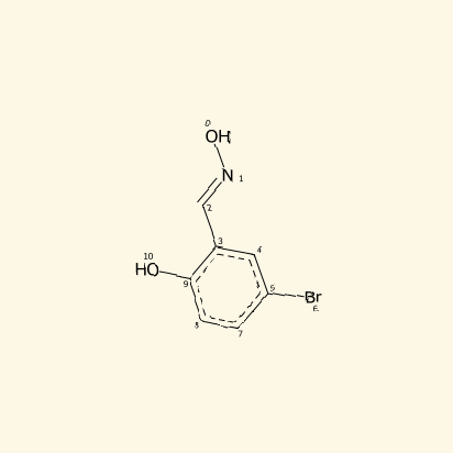 O/N=C/c1cc(Br)ccc1O